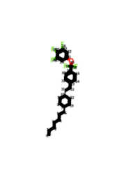 CCCCCCC[C@H]1CC[C@H](CCc2ccc(C(F)(F)Oc3cc(F)c(F)c(F)c3)cc2)CC1